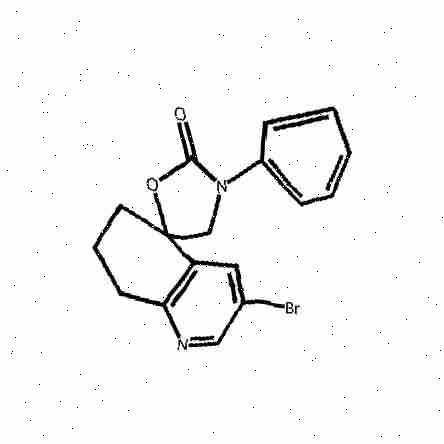 O=C1OC2(CCCc3ncc(Br)cc32)CN1c1ccccc1